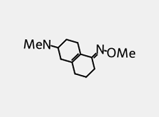 CNC1CCC2=C(CCCC2=NOC)C1